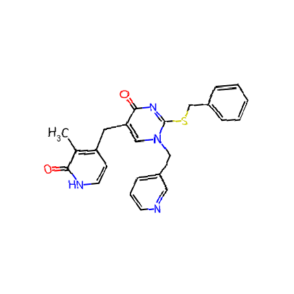 Cc1c(Cc2cn(Cc3cccnc3)c(SCc3ccccc3)nc2=O)cc[nH]c1=O